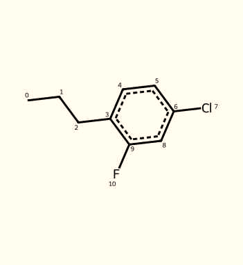 CCCc1ccc(Cl)cc1F